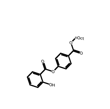 CCCCCCCCOC(=O)c1ccc(OC(=O)c2ccccc2O)cc1